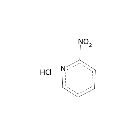 Cl.O=[N+]([O-])c1ccccn1